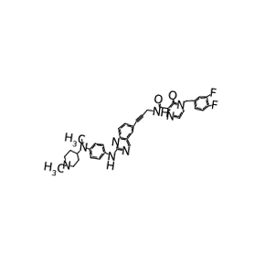 CN1CCC(N(C)c2ccc(Nc3ncc4cc(C#CCNC(=O)c5nccn(Cc6ccc(F)c(F)c6)c5=O)ccc4n3)cc2)CC1